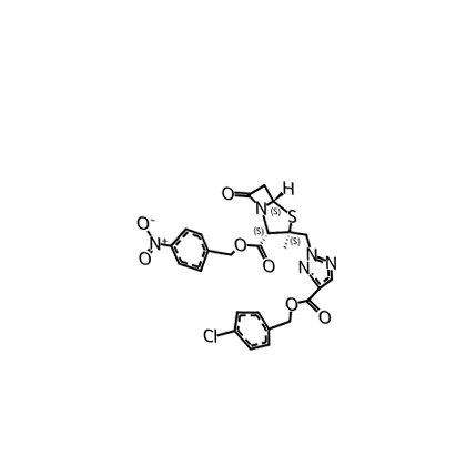 C[C@@]1(Cn2ncc(C(=O)OCc3ccc(Cl)cc3)n2)S[C@H]2CC(=O)N2[C@H]1C(=O)OCc1ccc([N+](=O)[O-])cc1